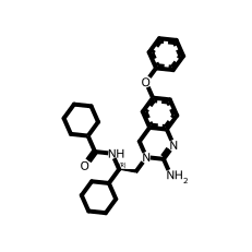 NC1=Nc2ccc(Oc3ccccc3)cc2CN1C[C@H](NC(=O)C1CCCCC1)C1CCCCC1